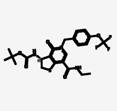 CCNC(=O)c1cn(Cc2ccc(OC(F)(F)F)cc2)c(=O)c2c1SC[C@@H]2NC(=O)OC(C)(C)C